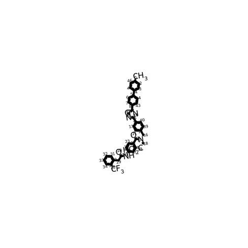 Cc1ccc(-c2ccc(-c3nc(-c4ccc(CN(CC(=O)O)C(=O)c5ccc(NC(=O)Cc6ccccc6C(F)(F)F)cc5)cc4)no3)cc2)cc1